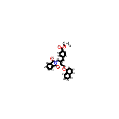 COC(=O)c1ccc(/C=C(/CCOc2cccc3ccccc23)CN2C(=O)c3ccccc3C2=O)cc1